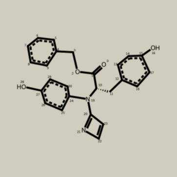 O=C(OCc1ccccc1)[C@H](Cc1ccc(O)cc1)N(C1=NC=C1)c1ccc(O)cc1